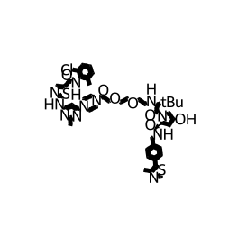 Cc1nc(Nc2ncc(C(=O)Nc3c(C)cccc3Cl)s2)cc(N2CCN(C(=O)COCCOCCNC(C(=O)N3C[C@H](O)C[C@H]3C(=O)NCc3ccc(-c4scnc4C)cc3)C(C)(C)C)CC2)n1